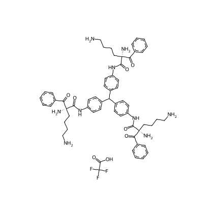 NCCCC[C@](N)(C(=O)Nc1ccc(C(c2ccc(NC(=O)[C@@](N)(CCCCN)C(=O)c3ccccc3)cc2)c2ccc(NC(=O)[C@@](N)(CCCCN)C(=O)c3ccccc3)cc2)cc1)C(=O)c1ccccc1.O=C(O)C(F)(F)F